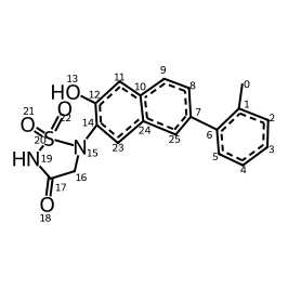 Cc1ccccc1-c1ccc2cc(O)c(N3CC(=O)NS3(=O)=O)cc2c1